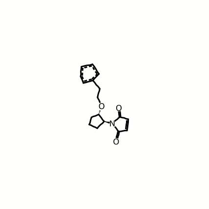 O=C1C=CC(=O)N1[C@H]1CCC[C@@H]1OCCc1ccccc1